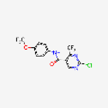 O=C(Nc1ccc(OC(F)(F)F)cc1)c1cnc(Cl)nc1C(F)(F)F